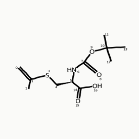 C=C(C)SC[C@@H](NC(=O)OC(C)(C)C)C(=O)O